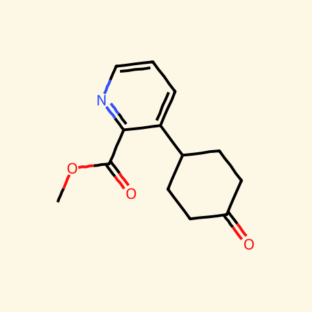 COC(=O)c1ncccc1C1CCC(=O)CC1